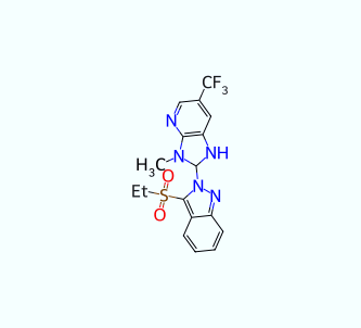 CCS(=O)(=O)c1c2ccccc2nn1C1Nc2cc(C(F)(F)F)cnc2N1C